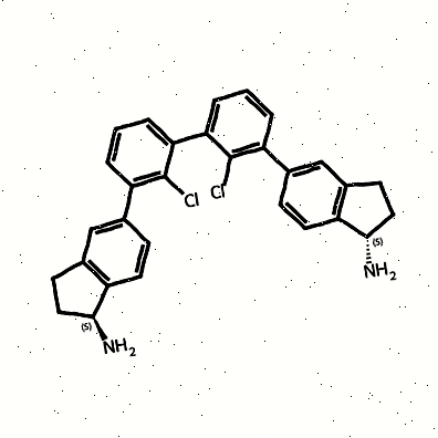 N[C@H]1CCc2cc(-c3cccc(-c4cccc(-c5ccc6c(c5)CC[C@@H]6N)c4Cl)c3Cl)ccc21